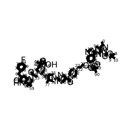 Cc1nn(C(=O)OC(C)(C)C)c(Nc2ncnc3cc(OCCCN4CCN(C(=O)c5cnc(N6CCN(C[C@H]7CN(C(=O)O)[C@](C)(C(C)(C)C)CN7CC(=O)N7CC(C)(C)c8[nH]c(=O)c(Cc9ccc(F)cc9)cc87)C(C)C6)nc5)CC4)c(S(=O)(=O)C(C)(C)C)cc23)c1C